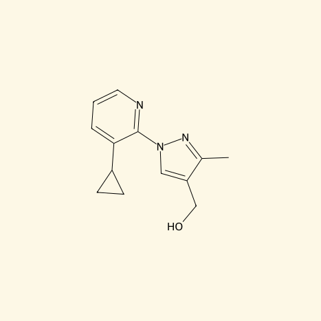 Cc1nn(-c2ncccc2C2CC2)cc1CO